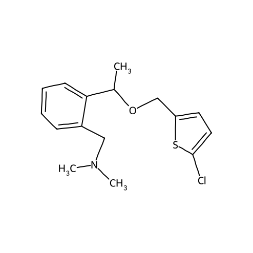 CC(OCc1ccc(Cl)s1)c1ccccc1CN(C)C